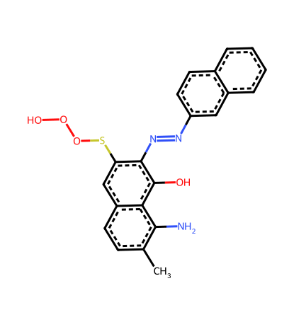 Cc1ccc2cc(SOOO)c(N=Nc3ccc4ccccc4c3)c(O)c2c1N